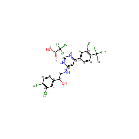 O=C(O)C(F)(F)F.OC(CNc1cc(-c2ccc(C(F)(F)F)c(Cl)c2)ncn1)c1ccc(F)c(Cl)c1